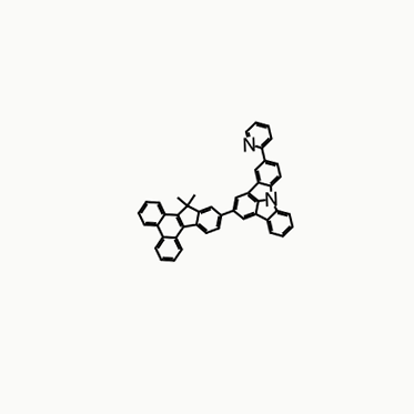 CC1(C)c2cc(-c3cc4c5ccccc5n5c6ccc(-c7ccccn7)cc6c(c3)c45)ccc2-c2c1c1ccccc1c1ccccc21